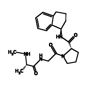 CN[C@@H](C)C(=O)NCC(=O)N1CCC[C@H]1C(=O)N[C@@H]1CCCc2ccccc21